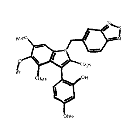 COc1ccc(-c2c(C(=O)O)n(Cc3ccc4nsnc4c3)c3cc(OC)c(OC(C)C)c(OC)c23)c(O)c1